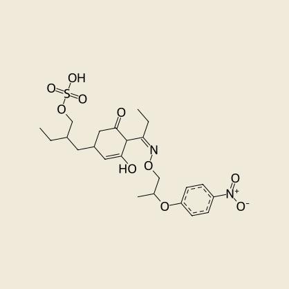 CCC(=NOCC(C)Oc1ccc([N+](=O)[O-])cc1)C1C(=O)CC(CC(CC)COS(=O)(=O)O)C=C1O